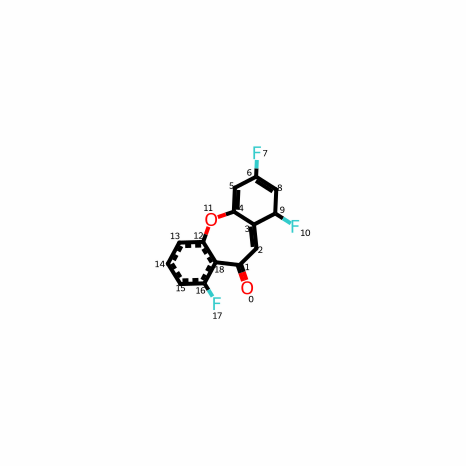 O=C1C=C2C(=CC(F)=CC2F)Oc2cccc(F)c21